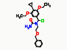 CCOc1cc(C(Cl)N(CCOCc2ccccc2)C(N)=O)cc(OCC)c1C1CC1